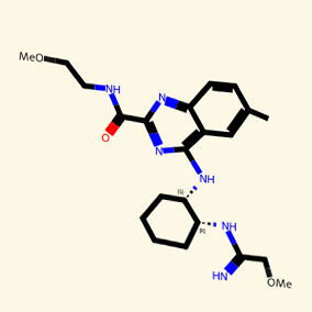 COCCNC(=O)c1nc(N[C@H]2CCCC[C@H]2NC(=N)COC)c2cc(C)ccc2n1